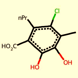 CCCc1c(Cl)c(C)c(O)c(O)c1C(=O)O